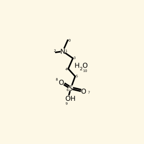 CN(C)CCCS(=O)(=O)O.O